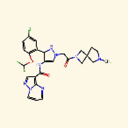 CN1CCC2(C1)CN(C(=O)CN1C=C(NC(=O)c3cnn4cccnc34)C(c3cc(Cl)ccc3OC(F)F)N1)C2